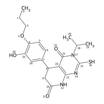 CCCOc1ccc(C2CC(=O)Nc3nc(S)n(C(C)C)c(=O)c32)cc1O